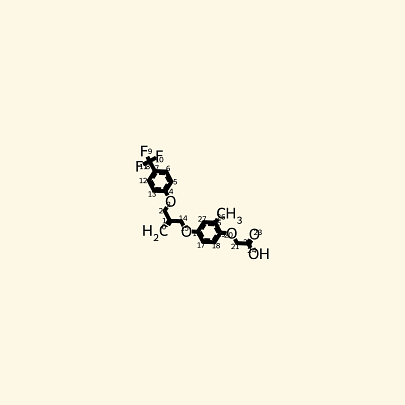 C=C(COc1ccc(C(F)(F)F)cc1)COc1ccc(OCC(=O)O)c(C)c1